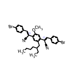 CCCCC(CC)Cc1cc(/C(C#N)=C/c2ccc(Br)cc2)c(OC)cc1/C(C#N)=C/c1ccc(Br)cc1